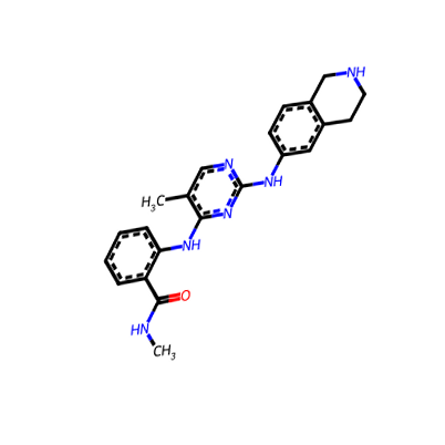 CNC(=O)c1ccccc1Nc1nc(Nc2ccc3c(c2)CCNC3)ncc1C